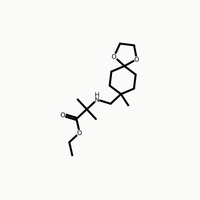 CCOC(=O)C(C)(C)NCC1(C)CCC2(CC1)OCCO2